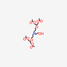 CC(=O)OCC(COC(C)=O)OCCCN(CCO)CCCOC(COC(C)=O)COC(C)=O